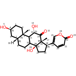 C[C@]12CC[C@H](O)C[C@H]1CCC1C2[C@H](O)C(=O)[C@]2(C)[C@@H](c3ccc(=O)oc3)CC[C@]12O